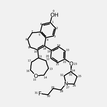 Oc1ccc2c(c1)CCCC(C1CCCOCC1)=C2c1ccc(O[C@H]2CCN(CCCF)C2)cc1